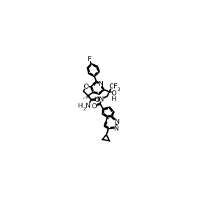 C[C@]1(C(N)=O)COc2c1cc(C(O)(CNC(=O)c1ccc3nnc(C4CC4)cc3c1)C(F)(F)F)nc2-c1ccc(F)cc1